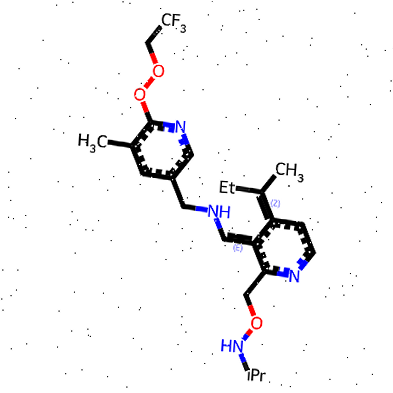 CC/C(C)=c1/ccnc(CONC(C)C)/c1=C/NCc1cnc(OOCC(F)(F)F)c(C)c1